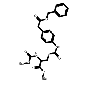 CC(C)(C)OC(=O)NC(COC(=O)Nc1ccc(CC(=O)OCc2ccccc2)cc1)C(=O)OC(C)(C)C